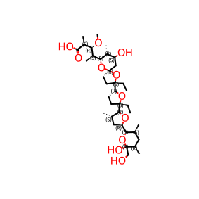 CC[C@@]1([C@@H]2O[C@@H]([C@H]3O[C@@](O)(CO)[C@H](C)C[C@@H]3C)C[C@@H]2C)CC[C@H]([C@]2(CC)CC[C@]3(C[C@H](O)[C@@H](C)[C@@H]([C@@H](C)[C@@H](OC)[C@H](C)C(=O)O)O3)O2)O1